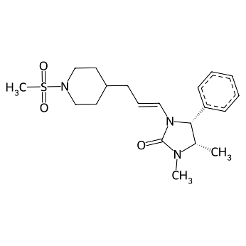 C[C@H]1[C@@H](c2ccccc2)N(C=CCC2CCN(S(C)(=O)=O)CC2)C(=O)N1C